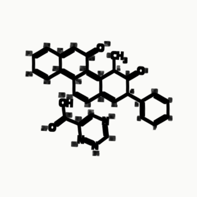 CC1C(=O)C(c2ccccc2)C=c2ccc3c(c21)C(=O)C=c1ccccc1=3.O=C(O)c1cncnn1